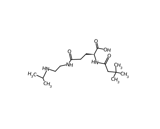 CC(C)NCCNC(=O)CC[C@H](NC(=O)CC(C)(C)C)C(=O)O